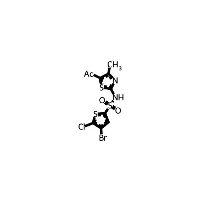 CC(=O)c1sc(NS(=O)(=O)c2cc(Br)c(Cl)s2)nc1C